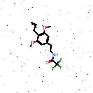 C=CCc1c(OC)cc(CCNC(=O)C(F)(F)F)cc1OC